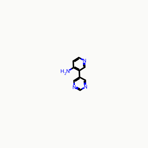 Nc1ccncc1-c1cncnc1